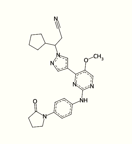 COc1cnc(Nc2ccc(N3CCCC3=O)cc2)nc1-c1cnn(C(CC#N)C2CCCC2)c1